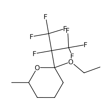 CCOC1(C(F)(C(F)(F)F)C(F)(F)F)CCCC(C)O1